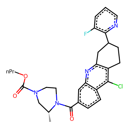 CCCOC(=O)N1CCN(C(=O)c2ccc3c(Cl)c4c(nc3c2)CC(c2ncccc2F)CC4)[C@H](C)C1